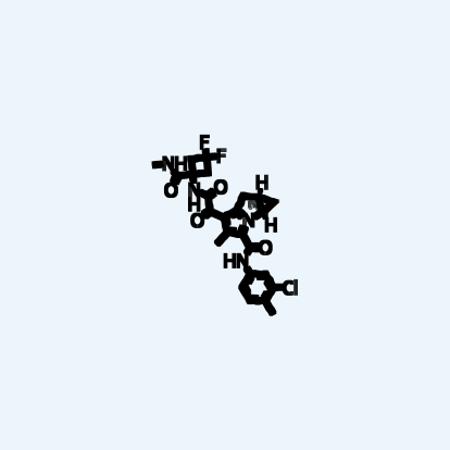 CNC(=O)C1(NC(=O)C(=O)c2c(C)c(C(=O)Nc3ccc(C)c(Cl)c3)n3c2C[C@@H]2C[C@@H]23)CC(F)(F)C1